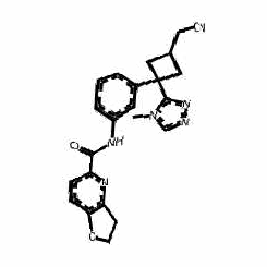 Cn1cnnc1C1(c2cccc(NC(=O)c3ccc4c(n3)CCO4)c2)CC(CC#N)C1